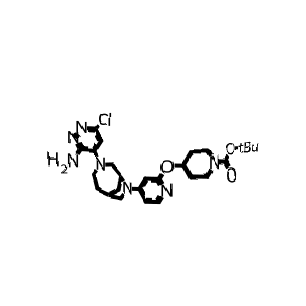 CC(C)(C)OC(=O)N1CCC(Oc2cc(N3CC4CCN(c5cc(Cl)nnc5N)CC3C4)ccn2)CC1